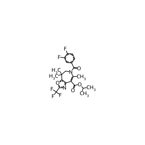 CC1=C(C(=O)OC(C)C)c2nc(C(F)(F)F)oc2C(C)(C)CN1C(=O)c1ccc(F)c(F)c1